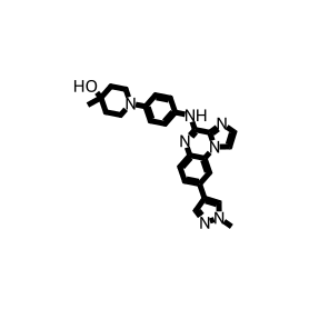 Cn1cc(-c2ccc3nc(Nc4ccc(N5CCC(C)(O)CC5)cc4)c4nccn4c3c2)cn1